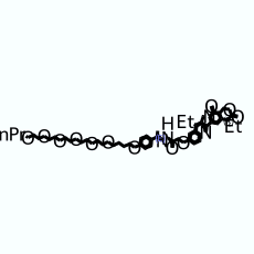 CCCOCCOCCOCCOCCOCCOCCCCOc1ccc(/C(C)=N/NC(=O)COc2ccc3nc4c(c(CC)c3c2)Cn2c-4cc3c(c2=O)COC(=O)[C@@H]3CC)cc1